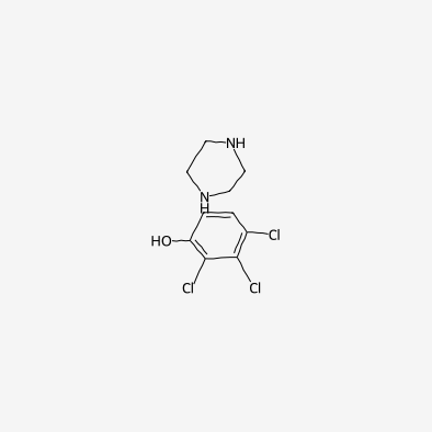 C1CNCCN1.Oc1ccc(Cl)c(Cl)c1Cl